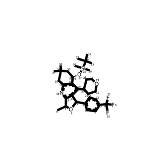 CC1OC(c2ccc(C(F)(F)F)cc2)c2c1nc1c(c2C2CCOCC2)[C@@H](O[Si](C)(C)C(C)(C)C)CC(C)(C)C1